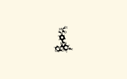 CCNC(=O)N(I)c1ccc(-c2nc3c(c(N4CCOCC4C)n2)CCN(C(C)=O)C3)cc1